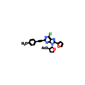 CC(=O)O[C@@H]1CCO[C@H]1n1c(-c2ccco2)nc2c(Cl)nc(C#Cc3ccc(C)cc3)nc21